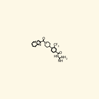 N=C(N)NC(=O)c1ccc(C2CCN(C(=O)c3cn4ccccc4n3)CC2)c(C(F)(F)F)c1